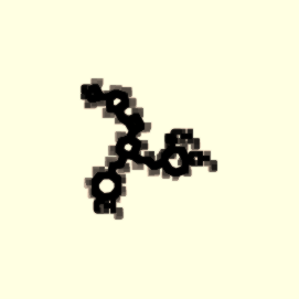 CSC1CC(C)CCCC(CCCC2CC(C3CCC3CC3CCCC(C4CSC4)C3)CCC2CCC2CCCC(C)CCC2)C1